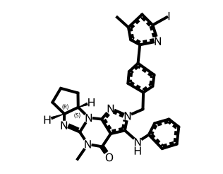 Cc1cc(I)nc(-c2ccc(Cn3nc4c(c3Nc3ccccc3)C(=O)N(C)C3=N[C@@H]5CCC[C@@H]5N34)cc2)c1